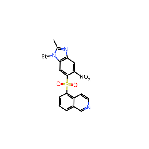 CCn1c(C)nc2cc([N+](=O)[O-])c(S(=O)(=O)c3cccc4cnccc34)cc21